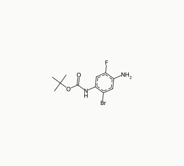 CC(C)(C)OC(=O)Nc1cc(F)c(N)cc1Br